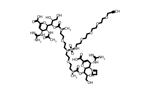 C#CCOCCOCCOCCOCCNS(=O)(=O)N(CCOCCN(C)C(=O)O[C@@H]([C@@H]1OC(C(=O)O)=C[C@H](NC(=N)N)[C@H]1NC(C)=O)[C@H](O)CO)CCOCCN(C)C(=O)O[C@@H]([C@@H]1OC(C(=O)O)=C[C@H](NC(=N)N)[C@H]1[N+]1=CCC1)[C@H](O)CO